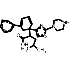 CC(C)CC(C(=O)O)C1(c2csc(N3CCNCC3)n2)C=CC=C(c2ccccc2)C1